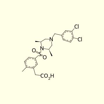 Cc1ccc(S(=O)(=O)N2[C@H](C)CN(Cc3ccc(Cl)c(Cl)c3)C[C@@H]2C)cc1CC(=O)O